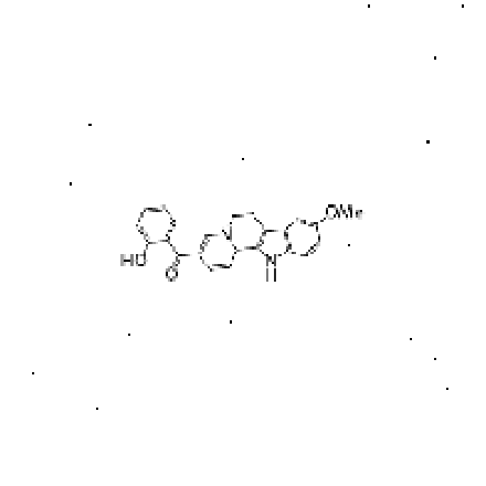 COc1ccc2[nH]c3c(c2c1)CCN1C=C(C(=O)c2ccccc2O)C=CC31